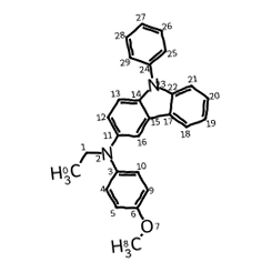 CCN(c1ccc(OC)cc1)c1ccc2c(c1)c1ccccc1n2-c1ccccc1